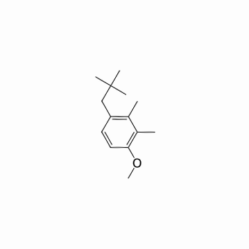 COc1ccc(CC(C)(C)C)c(C)c1C